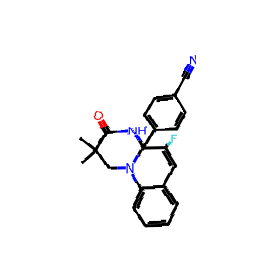 CC1(C)CN2c3ccccc3C=C(F)C2(c2ccc(C#N)cc2)NC1=O